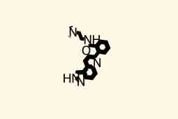 CN(C)CCNC(=O)c1ccccc1-c1ccc2c(ccc3n[nH]cc32)n1